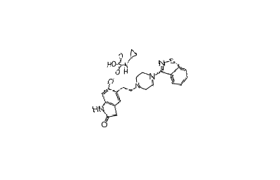 O=C1Cc2cc(CCN3CCN(c4nsc5ccccc45)CC3)c(Cl)cc2N1.O=S(=O)(O)NC1CC1